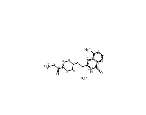 Cc1cccc2c(=O)[nH]c(CSC3CCN(C(=O)CN)CC3)nc12.Cl